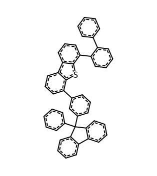 c1ccc(-c2ccccc2-c2cccc3c2sc2c(-c4cccc(C5(c6ccccc6)c6ccccc6-c6ccccc65)c4)cccc23)cc1